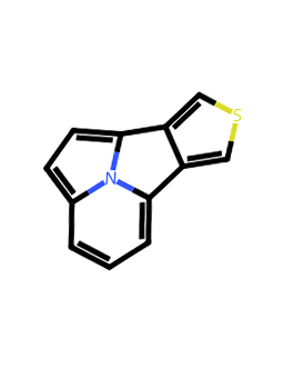 c1cc2ccc3c4cscc4c(c1)n23